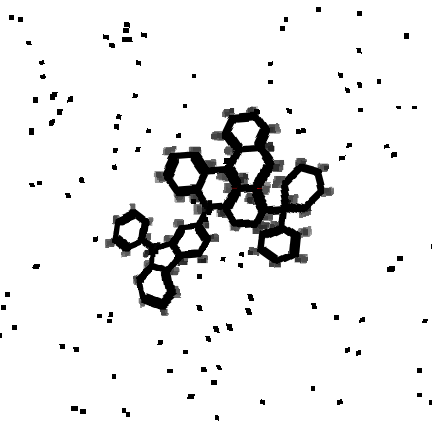 c1ccc(-n2c3ccccc3c3ccc(N(c4ccc(C5(c6ccccc6)CCCCC5)cc4)c4ccccc4-c4cccc5ccccc45)cc32)cc1